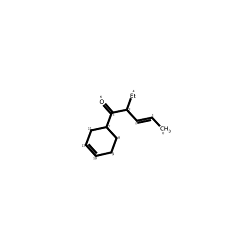 CC=CC(CC)C(=O)C1C[CH]C=CC1